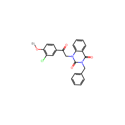 CCOc1ccc(C(=O)Cn2c(=O)n(Cc3ccccc3)c(=O)c3ccccc32)cc1Cl